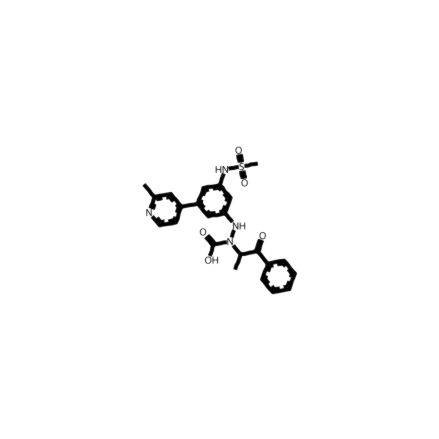 Cc1cc(-c2cc(NN(C(=O)O)C(C)C(=O)c3ccccc3)cc(NS(C)(=O)=O)c2)ccn1